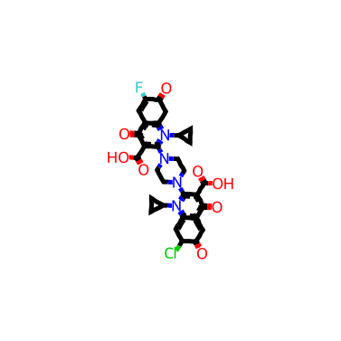 O=C1Cc2c(c(=O)c(C(=O)O)c(N3CCN(c4c(C(=O)O)c(=O)c5c(n4C4CC4)=CC(Cl)C(=O)C=5)CC3)n2C2CC2)C=C1F